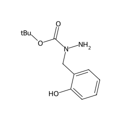 CC(C)(C)OC(=O)N(N)Cc1ccccc1O